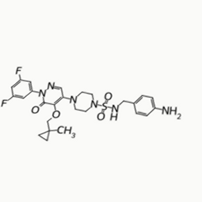 CC1(COc2c(N3CCN(S(=O)(=O)NCc4ccc(N)cc4)CC3)cnn(-c3cc(F)cc(F)c3)c2=O)CC1